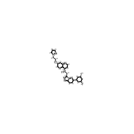 Fc1cc(F)cc(-c2ccc3nnc(CNc4ccnc5cc(OCCn6cccn6)cnc45)n3n2)c1